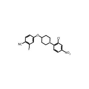 N#Cc1ccc(OC2CCN(c3ccc([N+](=O)[O-])cc3Cl)CC2)cc1F